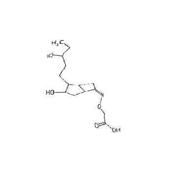 CCC(O)CCC1C(O)CC2/C(=N\OCC(=O)O)CC21